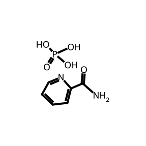 NC(=O)c1ccccn1.O=P(O)(O)O